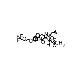 CS(=O)(=O)CC(=O)Nc1c2c(nn1CCC1CC1)C[C@@]1(CCc3cc(OCCOCC(F)(F)F)ccc31)NC2=O